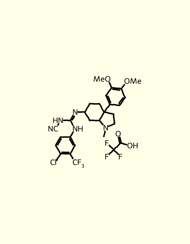 COc1ccc(C23CCC(/N=C(/NC#N)Nc4ccc(Cl)c(C(F)(F)F)c4)CC2N(C)CC3)cc1OC.O=C(O)C(F)(F)F